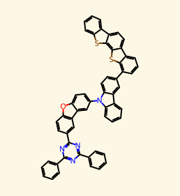 c1ccc(-c2nc(-c3ccccc3)nc(-c3ccc4oc5ccc(-n6c7ccccc7c7cc(-c8cccc9c8sc8c9ccc9c%10ccccc%10sc98)ccc76)cc5c4c3)n2)cc1